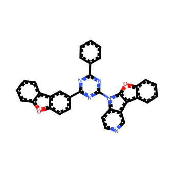 c1ccc(-c2nc(-c3ccc4oc5ccccc5c4c3)nc(-n3c4ccncc4c4c5ccccc5oc43)n2)cc1